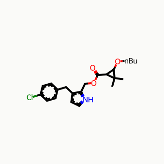 CCCCOC1C(C(=O)OCc2[nH]ccc2Cc2ccc(Cl)cc2)C1(C)C